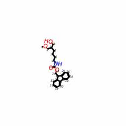 COCC(CO)CCCCNC(=O)OCC1c2ccccc2-c2ccccc21